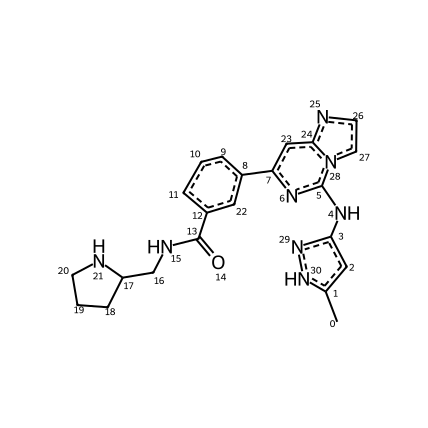 Cc1cc(Nc2nc(-c3cccc(C(=O)NCC4CCCN4)c3)cc3nccn23)n[nH]1